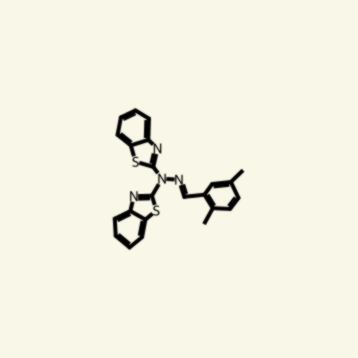 Cc1ccc(C)c(/C=N/N(c2nc3ccccc3s2)c2nc3ccccc3s2)c1